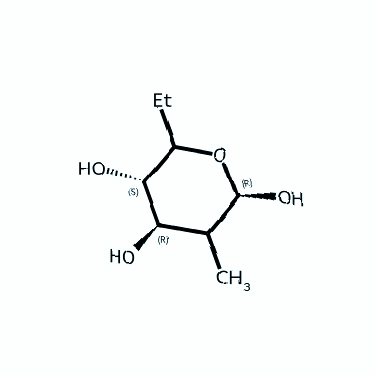 CCC1O[C@@H](O)C(C)[C@@H](O)[C@@H]1O